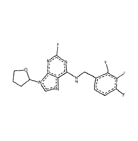 Fc1nc(NCc2ccc(F)c(F)c2F)c2ncn(C3CCCO3)c2n1